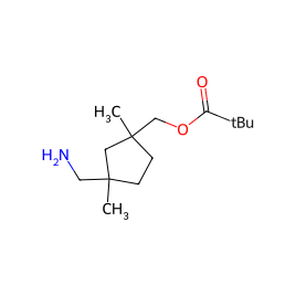 CC1(CN)CCC(C)(COC(=O)C(C)(C)C)C1